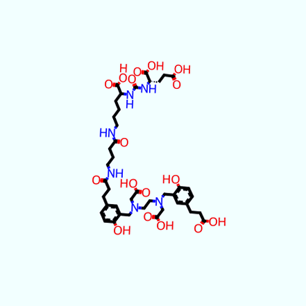 O=C(O)CCc1ccc(O)c(CN(CCN(CC(=O)O)Cc2cc(CCC(=O)NCCCC(=O)NCCCCC(NC(=O)N[C@@H](CCC(=O)O)C(=O)O)C(=O)O)ccc2O)CC(=O)O)c1